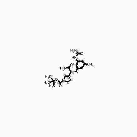 Cc1cc(C[C@H](C(N)=O)[C@H]2CCN(C(=O)OC(C)(C)C)C2)cc(NC(N)=O)c1